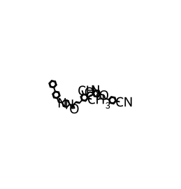 Cc1cc(C=CC(=O)N2CCN(Cc3ccc(-c4ccccc4)cc3)CC2)cc(C)c1Oc1ccc(OCc2ccc(C#N)cc2)cn1